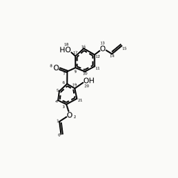 C=COc1ccc(C(=O)c2ccc(OC=C)cc2O)c(O)c1